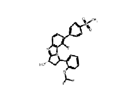 CS(=O)(=O)c1ccc(-c2ccc3nc4n(c3c2F)C(c2ccccc2OC(F)F)C[C@@H]4O)cc1